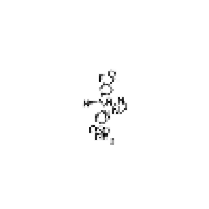 CC(=O)c1cc2c(cc1F)c(C#N)c(-c1ccc(S(N)(=O)=O)cn1)n2-c1ncccn1